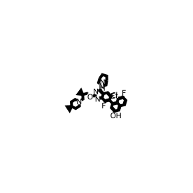 CCc1c(F)ccc2cc(O)cc(-c3c(Cl)cc4c(N5CC6CCC(C5)N6)nc(OCC5(CN6CCC7(CC6)CC7)CC5)nc4c3F)c12